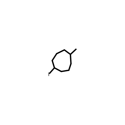 CC1CCCC(I)CCC1